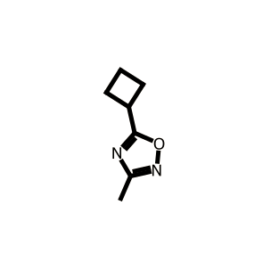 Cc1noc(C2CCC2)n1